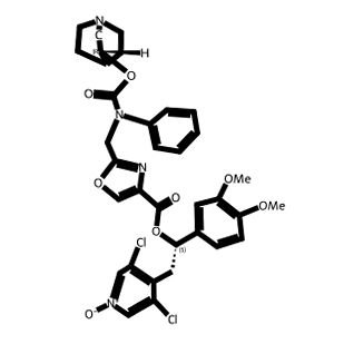 COc1ccc([C@H](Cc2c(Cl)c[n+]([O-])cc2Cl)OC(=O)c2coc(CN(C(=O)O[C@H]3CN4CCC3CC4)c3ccccc3)n2)cc1OC